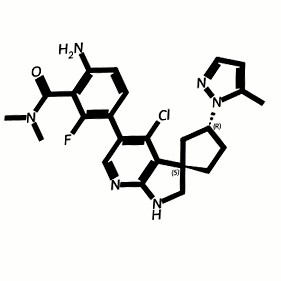 Cc1ccnn1[C@@H]1CC[C@]2(CNc3ncc(-c4ccc(N)c(C(=O)N(C)C)c4F)c(Cl)c32)C1